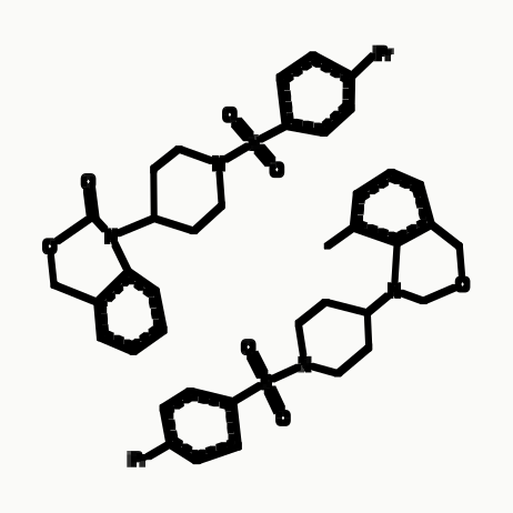 CC(C)c1ccc(S(=O)(=O)N2CCC(N3C(=O)OCc4ccccc43)CC2)cc1.Cc1cccc2c1N(C1CCN(S(=O)(=O)c3ccc(C(C)C)cc3)CC1)COC2